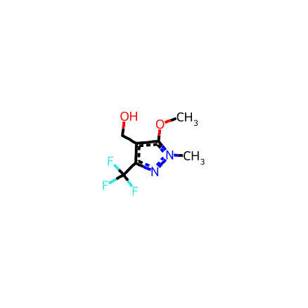 COc1c(CO)c(C(F)(F)F)nn1C